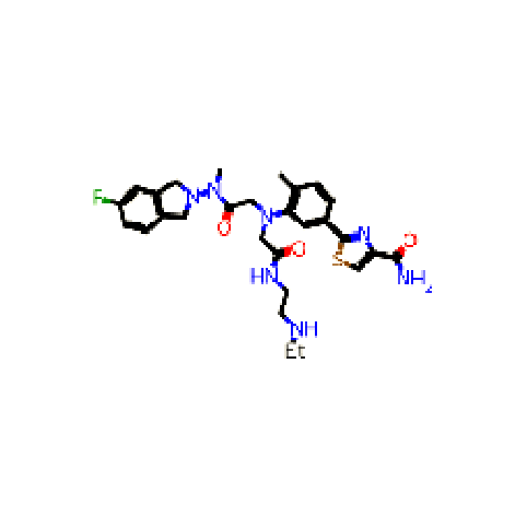 CCNCCNC(=O)CN(CC(=O)N(C)N1Cc2ccc(F)cc2C1)c1cc(-c2nc(C(N)=O)cs2)ccc1C